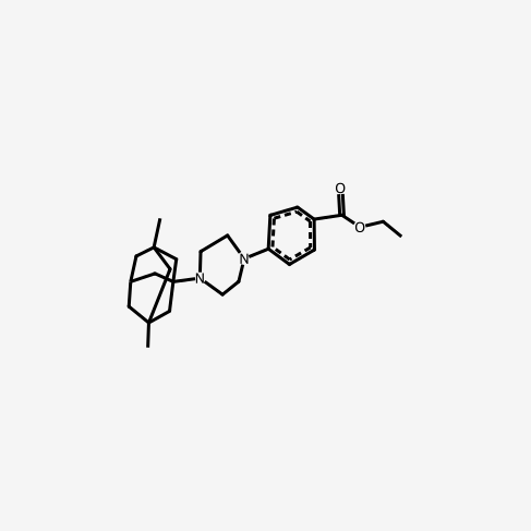 CCOC(=O)c1ccc(N2CCN(C34CC5CC(C)(CC(C)(C5)C3)C4)CC2)cc1